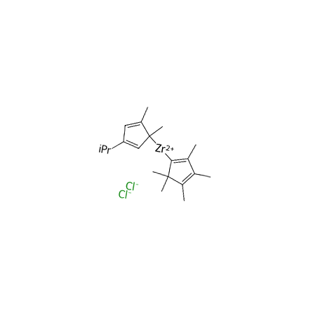 CC1=CC(C(C)C)=C[C]1(C)[Zr+2][C]1=C(C)C(C)=C(C)C1(C)C.[Cl-].[Cl-]